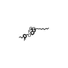 CCCCCCCCCc1cc2ccc(OCc3ccc(CCC)c(F)c3)c(F)c2c(=O)o1